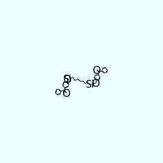 C[Si](C)(CCCCCCCC[Si](C)(C)Oc1ccc(C(=O)c2ccccc2)cc1)Oc1ccc(C(=O)c2ccccc2)cc1